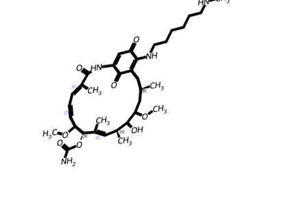 CNCCCCCCNC1=C2C[C@@H](C)CC(OC)C(O)[C@@H](C)/C=C(\C)[C@H](OC(N)=O)C(OC)/C=C\C=C(/C)C(=O)NC(=CC1=O)C2=O